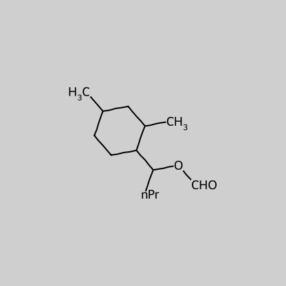 CCCC(OC=O)C1CCC(C)CC1C